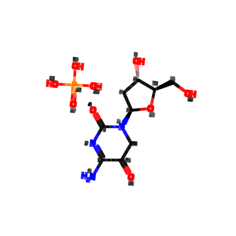 NC1=NC(=O)N([C@H]2C[C@H](O)[C@@H](CO)O2)CC1=O.O=P(O)(O)O